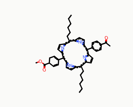 CCCCCCc1c2nc(c(-c3ccc(C(C)=O)cc3)c3ccc([nH]3)c(CCCCCC)c3nc(c(C4=CCC(C(=O)OC)C=C4)c4ccc1[nH]4)C=C3)C=C2